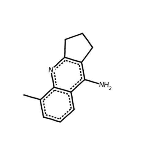 Cc1cccc2c(N)c3c(nc12)CCC3